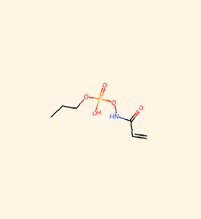 C=CC(=O)NOP(=O)(O)OCCC